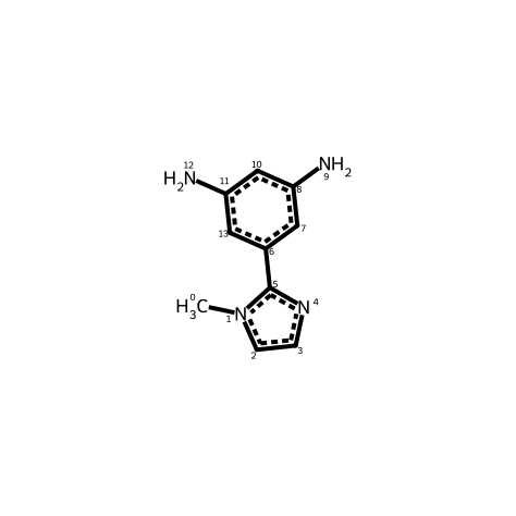 Cn1ccnc1-c1cc(N)cc(N)c1